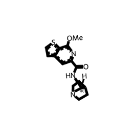 COc1nc(C(=O)N[C@H]2CN3CCC2CC3)cc2ccsc12